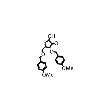 COc1ccc(COC[C@H]2SC(O)C(=O)[C@@H]2OCc2ccc(OC)cc2)cc1